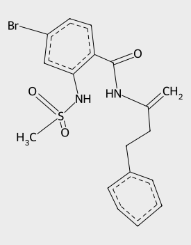 C=C(CCc1ccccc1)NC(=O)c1ccc(Br)cc1NS(C)(=O)=O